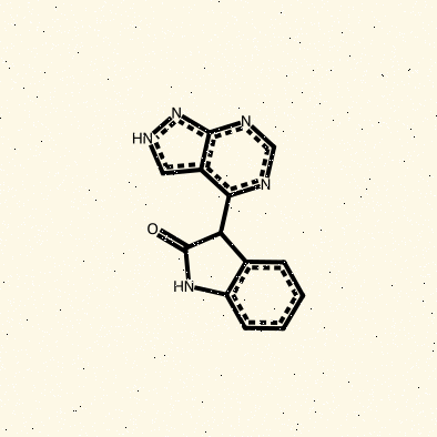 O=C1Nc2ccccc2C1c1ncnc2n[nH]cc12